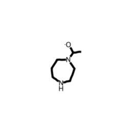 CC([O])N1CCCNCC1